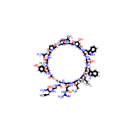 C#CC[C@H](NC(=O)CNC(=O)[C@@H]1CSCC(=O)N[C@@H](Cc2ccc(O)cc2)C(=O)N(C)[C@@H](C)C(=O)N[C@@H](CC(N)=O)C(=O)N2CCC[C@H]2C(=O)N[C@@H](CN)C(=O)N[C@@H](CC(C)C)C(=O)N2C[C@H](O)C[C@H]2C(=O)N[C@@H](Cc2c[nH]c3ccccc23)C(=O)N[C@@H](CO)C(=O)N[C@@H](Cc2c[nH]c3ccccc23)C(=O)N(C)[C@@H](CCCC)C(=O)N(C)[C@@H](CCCC)C(=O)N[C@@H](CCC(=O)NC(=N)N)C(=O)N1)C(N)=O